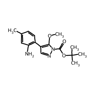 COc1c(-c2ccc(C)cc2N)cnn1C(=O)OC(C)(C)C